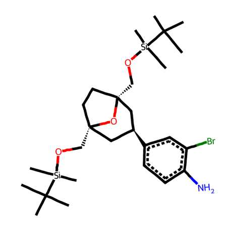 CC(C)(C)[Si](C)(C)OC[C@@]12CC[C@@](CO[Si](C)(C)C(C)(C)C)(C[C@@H](c3ccc(N)c(Br)c3)C1)O2